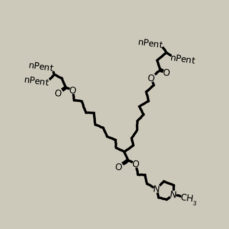 CCCCCC(CCCCC)CC(=O)OCCCCCCCCCC(CCCCCCCCCOC(=O)CC(CCCCC)CCCCC)C(=O)OCCCN1CCN(C)CC1